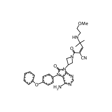 COCCNC(C)(C)/C=C(/C#N)C(=O)N1CC(n2c(=O)n(-c3ccc(Oc4ccccc4)cc3)c3c(N)ncnc32)C1